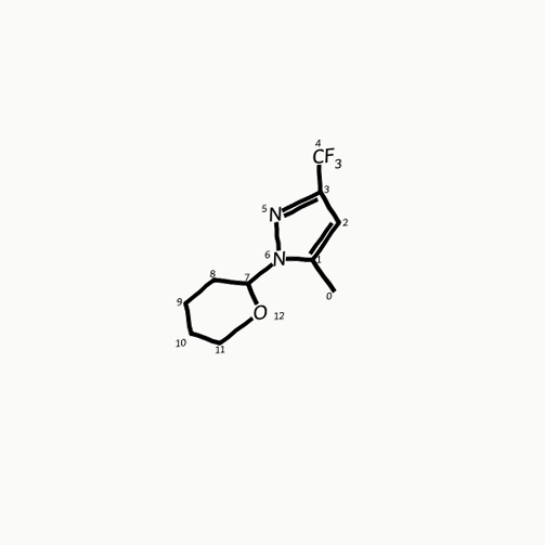 Cc1cc(C(F)(F)F)nn1C1CCCCO1